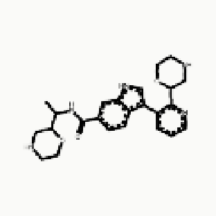 CC(NC(=O)c1ccc2c(-c3cccnc3C3CNCCO3)c[nH]c2c1)C1CNCCO1